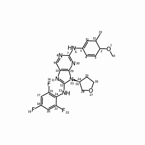 COC1C=CC(Nc2ncc3nc(Nc4c(F)cc(F)cc4F)n([C@H]4CCOC4)c3n2)=CC1C